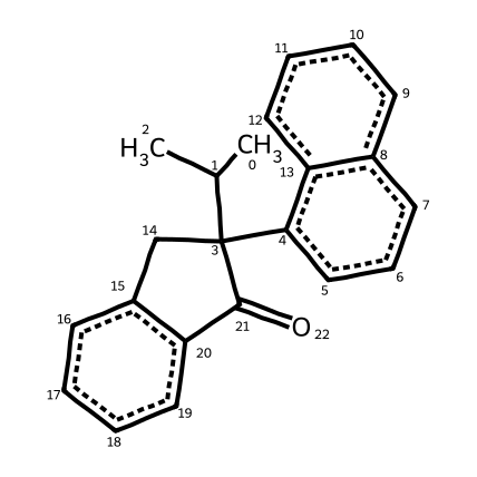 CC(C)C1(c2cccc3ccccc23)Cc2ccccc2C1=O